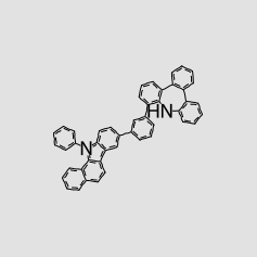 c1ccc(-n2c3ccc(-c4cccc(-c5cccc6c5Nc5ccccc5-c5ccccc5-6)c4)cc3c3ccc4ccccc4c32)cc1